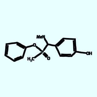 CNC(c1ccc(O)cc1)P(C)(=O)Oc1ccccc1